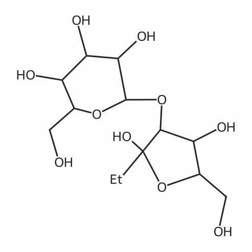 CCC1(O)OC(CO)C(O)C1OC1OC(CO)C(O)C(O)C1O